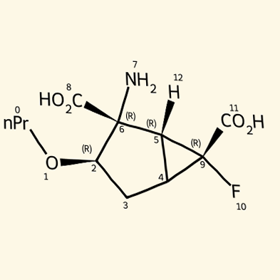 CCCO[C@@H]1CC2[C@H]([C@]1(N)C(=O)O)[C@@]2(F)C(=O)O